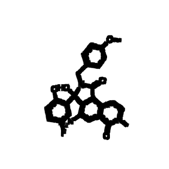 COc1ccc(CN2C(=O)c3c(c(N)cc4c(=O)n(C)ccc34)C2(O)c2cc(F)ccc2Cl)cc1